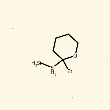 CCC1([SiH2][SiH3])CCCCO1